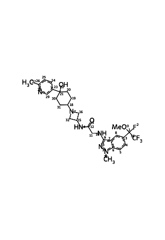 COC(F)(c1ccc2c(c1)c(NCC(=O)NC1CN(C3CCC(O)(c4ccc(C)nc4)CC3)C1)nn2C)C(F)(F)F